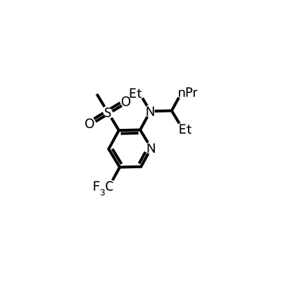 CCCC(CC)N(CC)c1ncc(C(F)(F)F)cc1S(C)(=O)=O